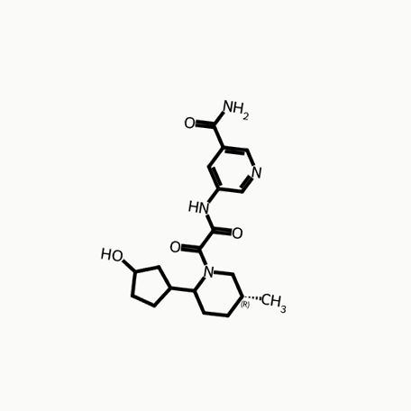 C[C@@H]1CCC(C2CCC(O)C2)N(C(=O)C(=O)Nc2cncc(C(N)=O)c2)C1